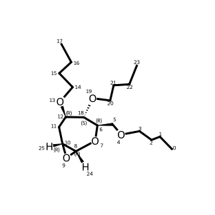 CCCCOC[C@H]1O[C@@H]2O[C@@H]2C[C@@H](OCCCC)[C@@H]1OCCCC